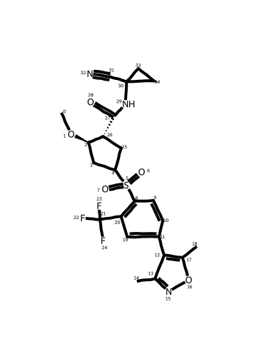 CO[C@@H]1CC(S(=O)(=O)c2ccc(-c3c(C)noc3C)cc2C(F)(F)F)C[C@H]1C(=O)NC1(C#N)CC1